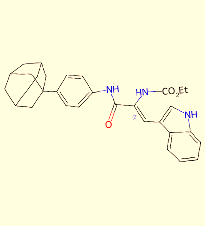 CCOC(=O)N/C(=C\c1c[nH]c2ccccc12)C(=O)Nc1ccc(C23CC4CC(CC(C4)C2)C3)cc1